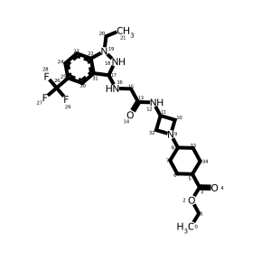 CCOC(=O)C1CCC(N2CC(NC(=O)CNC3NN(CC)c4ccc(C(F)(F)F)cc43)C2)CC1